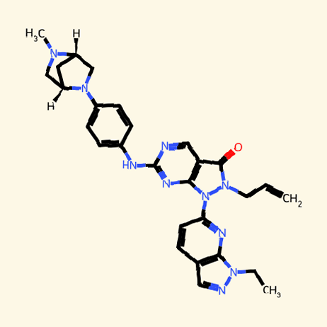 C=CCn1c(=O)c2cnc(Nc3ccc(N4C[C@@H]5C[C@H]4CN5C)cc3)nc2n1-c1ccc2cnn(CC)c2n1